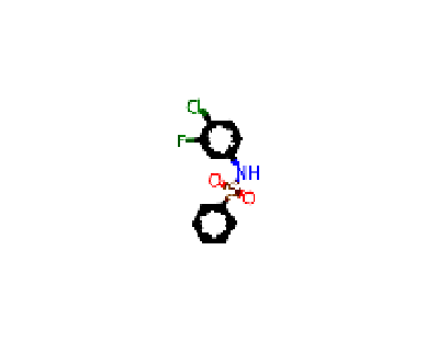 O=S(=O)(Nc1ccc(Cl)c(F)c1)c1ccccc1